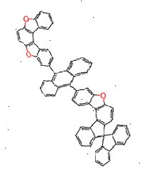 c1ccc2c(c1)-c1ccccc1C21c2ccccc2-c2c1ccc1oc3cc(-c4c5ccccc5c(-c5ccc6c(c5)oc5ccc7oc8ccccc8c7c56)c5ccccc45)ccc3c21